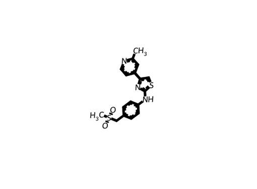 Cc1cc(-c2csc(Nc3ccc(CS(C)(=O)=O)cc3)n2)ccn1